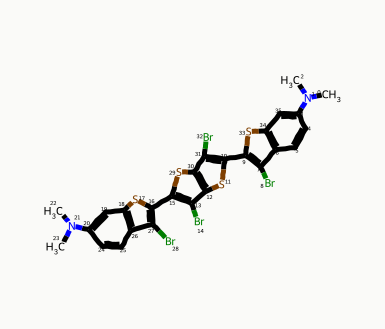 CN(C)c1ccc2c(Br)c(-c3sc4c(Br)c(-c5sc6cc(N(C)C)ccc6c5Br)sc4c3Br)sc2c1